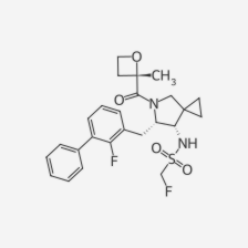 C[C@@]1(C(=O)N2CC3(CC3)[C@H](NS(=O)(=O)CF)[C@@H]2Cc2cccc(-c3ccccc3)c2F)CCO1